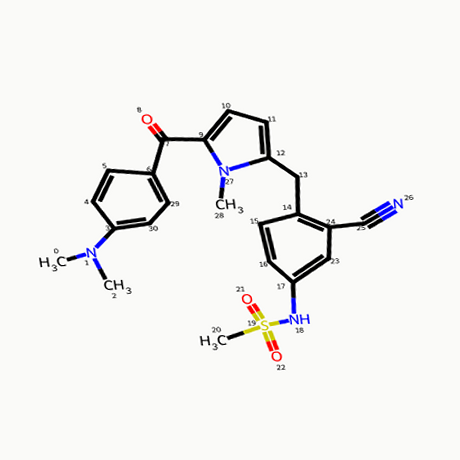 CN(C)c1ccc(C(=O)c2ccc(Cc3ccc(NS(C)(=O)=O)cc3C#N)n2C)cc1